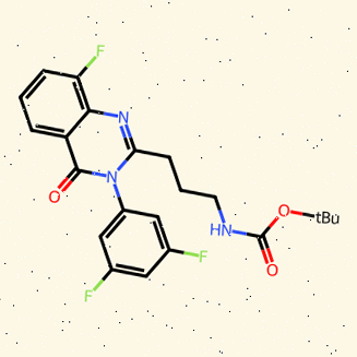 CC(C)(C)OC(=O)NCCCc1nc2c(F)cccc2c(=O)n1-c1cc(F)cc(F)c1